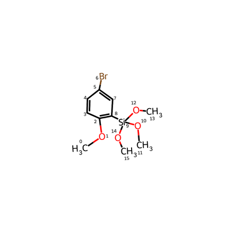 COc1ccc(Br)cc1[Si](OC)(OC)OC